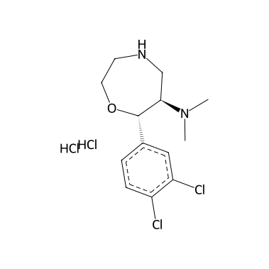 CN(C)[C@@H]1CNCCO[C@H]1c1ccc(Cl)c(Cl)c1.Cl.Cl